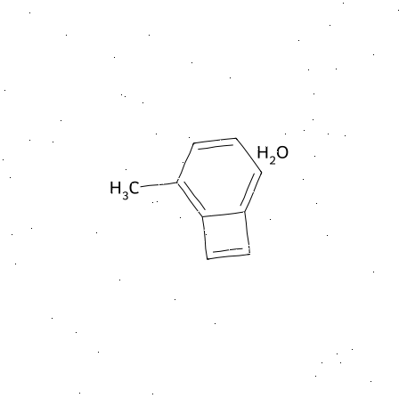 Cc1cccc2c1C=C2.O